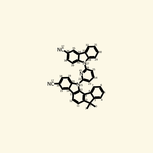 CC1(C)c2ccccc2-c2c1ccc1c3cc(C#N)ccc3n(-c3cccc(-n4c5ccccc5c5cc(C#N)ccc54)n3)c21